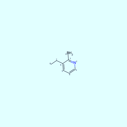 Bc1ncccc1CC